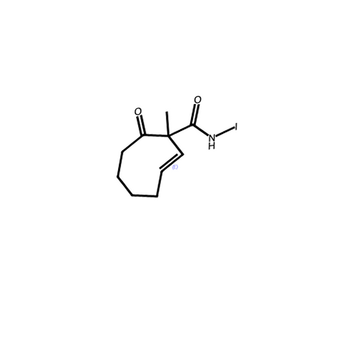 CC1(C(=O)NI)/C=C/CCCCC1=O